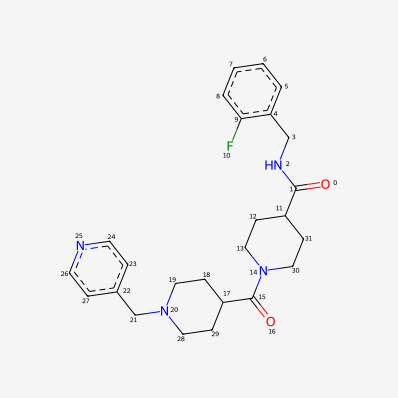 O=C(NCc1ccccc1F)C1CCN(C(=O)C2CCN(Cc3ccncc3)CC2)CC1